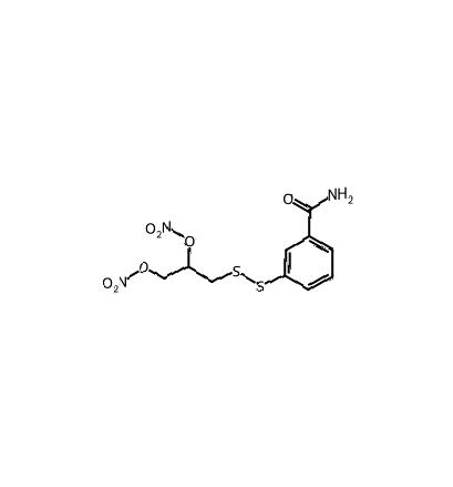 NC(=O)c1cccc(SSCC(CO[N+](=O)[O-])O[N+](=O)[O-])c1